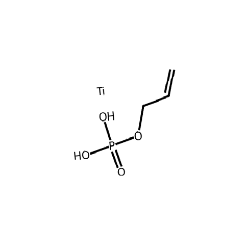 C=CCOP(=O)(O)O.[Ti]